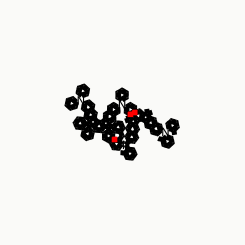 Cc1ccccc1N(c1ccc2cc3c(cc2c1)C(C)(C)c1ccc2c(c1-3)-c1cc3ccc(N(c4ccccc4C)c4ccccc4Cc4cccc(C5(c6ccccc6)c6cc7cc(N(c8ccccc8)c8ccccc8)ccc7cc6-c6c5ccc5c6-c6cc7ccc(N(c8ccccc8)c8ccccc8)cc7cc6C5(c5ccccc5)c5ccccc5)c4)cc3cc1C2(C)C)c1ccccc1C